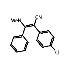 CNC(=C(C#N)c1ccc(Cl)cc1)c1ccccc1